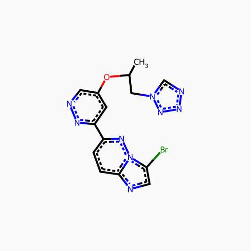 CC(Cn1cnnn1)Oc1cnnc(-c2ccc3ncc(Br)n3n2)c1